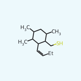 CC/C=C\C1C(C)C(C)CC(C)C1CS